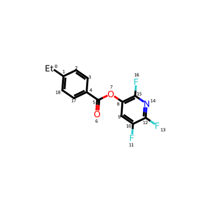 CCc1ccc(C(=O)Oc2cc(F)c(F)nc2F)cc1